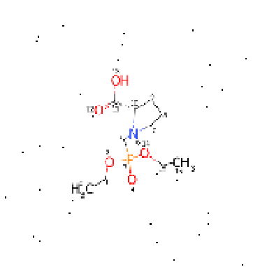 CCOP(=O)(CN1CCC[C@H]1C(=O)O)OCC